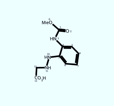 COC(=O)Nc1ccccc1NNCC(=O)O